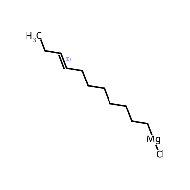 CC/C=C/CCCCCC[CH2][Mg][Cl]